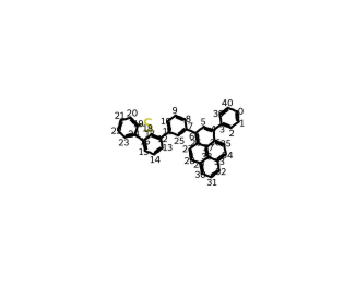 c1ccc(-c2cc(-c3cccc(-c4cccc5c4sc4ccccc45)c3)c3ccc4cccc5ccc2c3c54)cc1